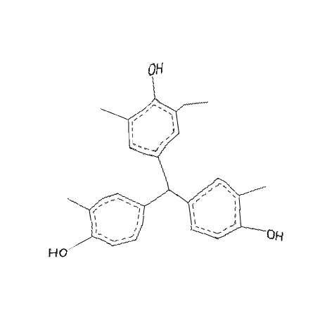 Cc1cc(C(c2ccc(O)c(C)c2)c2cc(C)c(O)c(C)c2)ccc1O